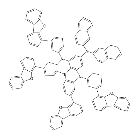 C1=Cc2ccc(N(c3cc4c5c(c3)N(c3cccc(-c6cccc7c6oc6ccccc67)c3)C3CC(c6cccc7c6oc6ccccc67)=CC=C3B5c3ccc(-c5cccc6c5oc5ccccc56)cc3N4C3=CC(c4cccc5c4oc4ccccc45)=CCC3)c3ccc4ccccc4c3)cc2CC1